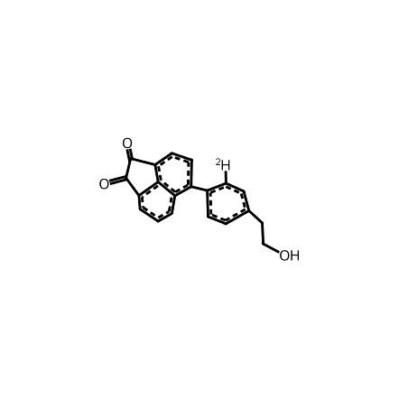 [2H]c1cc(CCO)ccc1-c1ccc2c3c(cccc13)C(=O)C2=O